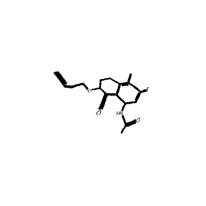 C=CCOC1CCC2=C(C)C(F)=CC(NC(C)=O)C2C1=O